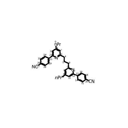 CCCc1cc(CCCc2cc(CCC)cc(-c3ccc(C#N)cc3)n2)nc(-c2ccc(C#N)cc2)c1